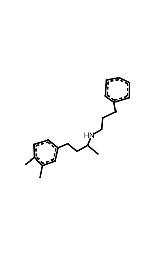 Cc1ccc(CCC(C)NCCCc2ccccc2)cc1C